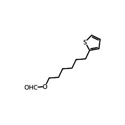 O=COCCCCCCc1cccs1